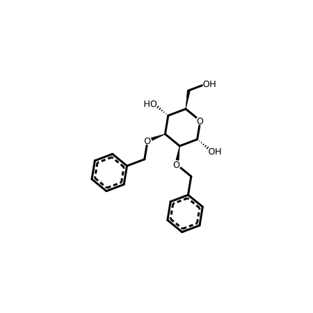 OC[C@H]1O[C@H](O)[C@@H](OCc2ccccc2)[C@@H](OCc2ccccc2)[C@@H]1O